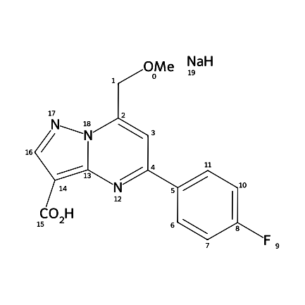 COCc1cc(-c2ccc(F)cc2)nc2c(C(=O)O)cnn12.[NaH]